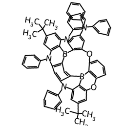 CC(C)(C)c1cc2c3c(c1)N(c1ccccc1)c1cc4c5cc1B3c1c(cccc1Oc1cc(N(c3ccccc3)c3ccccc3)cc3c1B5c1c(cc(C(C)(C)C)cc1N3c1ccccc1)N4c1ccccc1)O2